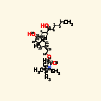 CCCCC[C@H](O)C=C[C@@H]1[C@H]2CC(=CCOCC(=O)N(C)C(C)(C)C)C[C@H]2C[C@H]1O